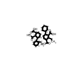 CCc1c(C(=O)O)ccc(-c2ccccc2)c1C(=O)O.Cc1ccccc1-c1cccc(C(=O)O)c1C(=O)O